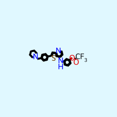 O=C(Oc1cccc(Nc2ccnc3cc(-c4ccc(CN5CCCCC5)cc4)sc23)c1)C(F)(F)F